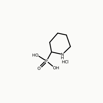 Cl.O=P(O)(O)C1CCCCN1